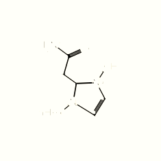 CCCCCCN1C=CN(C)C1CC(N)=O